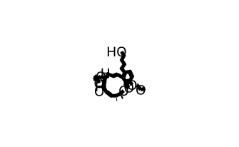 COCOc1ccc(CCCCO)c2c1C(=O)O[C@@H](C)[C@H](C)/C=C\C(=O)[C@H]1OC(C)(C)O[C@H]1C/C=C/2